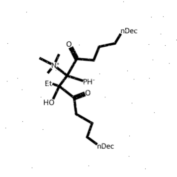 CCCCCCCCCCCCCC(=O)C(O)(CC)C([PH-])(C(=O)CCCCCCCCCCCCC)[N+](C)(C)C